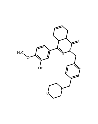 COc1ccc(C2=NN(Cc3ccc(CN4CCOCC4)cc3)C(=O)C3CC=CCC23)cc1O